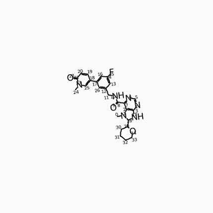 CN1c2c(ncnc2C(=O)NCc2cc(F)cc(-c3ccc(=O)n(C)c3)c2)NC1C1CCCCO1